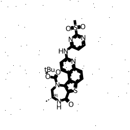 C[C@@H]1CN(C(=O)OC(C)(C)C)c2c(sc3ccc4nc(Nc5ccnc(S(C)(=O)=O)n5)ccc4c23)C(=O)N1